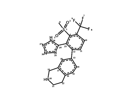 CS(=O)(=O)c1c(C(F)(F)F)ccc(-c2ccc3c(c2)CNCC3)c1-c1nnn[nH]1